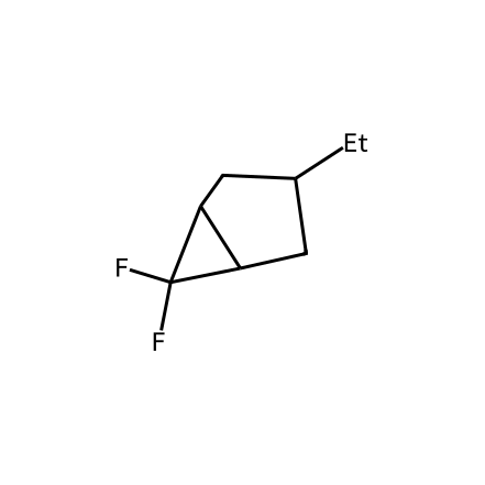 CCC1CC2C(C1)C2(F)F